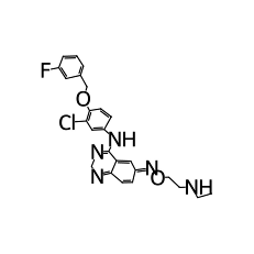 CCNCCO/N=C1\C=CC2=NCN=C(Nc3ccc(OCc4cccc(F)c4)c(Cl)c3)C2=C1